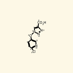 O=C(O)c1cn(Oc2ccc(Cl)nc2)nn1